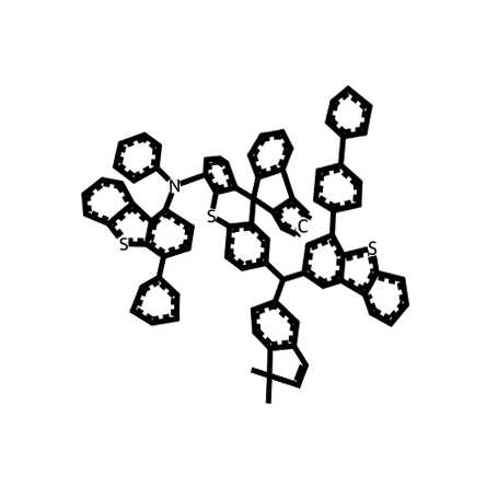 CC1(C)C=Cc2cc(C(c3ccc4c(c3)C3(c5ccccc5-c5ccccc53)c3cccc(N(c5ccccc5)c5ccc(-c6ccccc6)c6sc7ccccc7c56)c3S4)c3cc(-c4ccc(-c5ccccc5)cc4)c4sc5ccccc5c4c3)ccc21